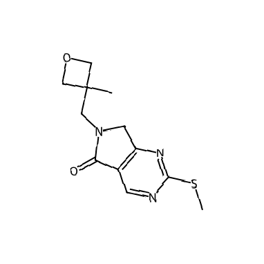 CSc1ncc2c(n1)CN(CC1(C)COC1)C2=O